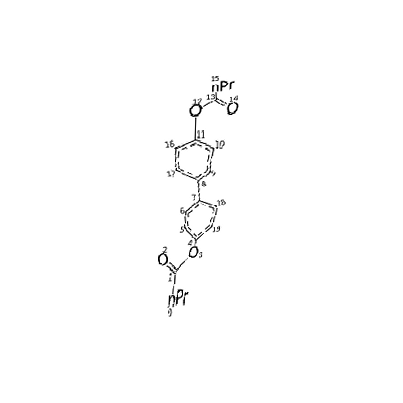 CCCC(=O)Oc1ccc(-c2ccc(OC(=O)CCC)cc2)cc1